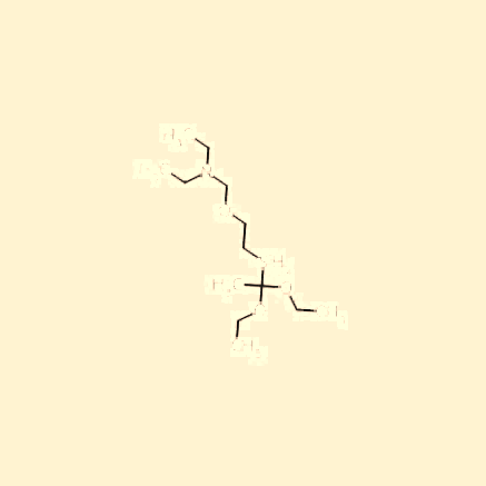 CCOC(C)(OCC)[SiH2]CCOCN(CC)CC